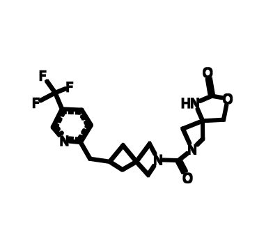 O=C1NC2(CO1)CN(C(=O)N1CC3(CC(Cc4ccc(C(F)(F)F)cn4)C3)C1)C2